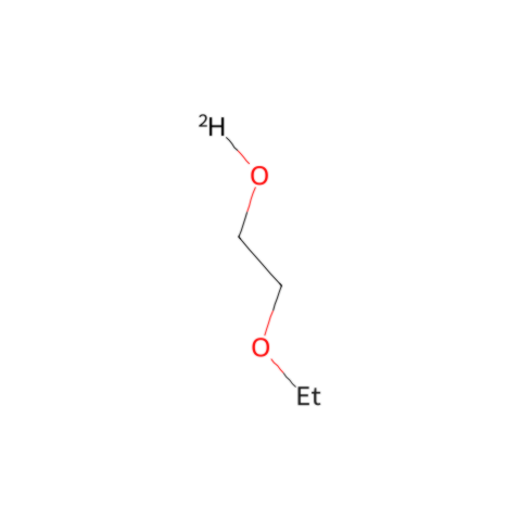 [2H]OCCOCC